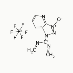 C=N[C+](N=C)n1n[n+]([O-])c2ncccc21.F[P-](F)(F)(F)(F)F